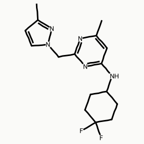 Cc1cc(NC2CCC(F)(F)CC2)nc(Cn2ccc(C)n2)n1